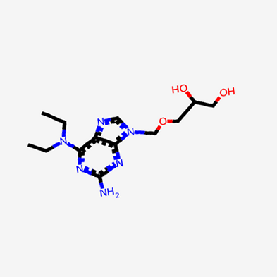 CCN(CC)c1nc(N)nc2c1ncn2COCC(O)CO